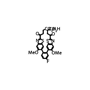 COc1cc2nc(C(=O)CCC(=O)O)sc2cc1-c1ccc(F)cc1-c1cc2sc(C(=O)CCC(=O)O)nc2cc1OC